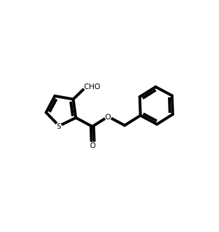 O=Cc1ccsc1C(=O)OCc1ccccc1